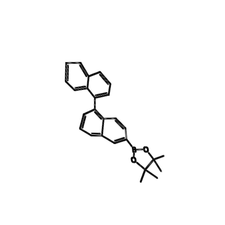 CC1(C)OB(c2ccc3c(-c4cccc5ccccc45)cccc3c2)OC1(C)C